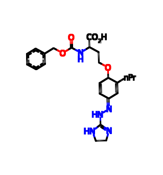 CCCC1=C/C(=N/NC2=NCCN2)C=CC1OCCC(NC(=O)OCc1ccccc1)C(=O)O